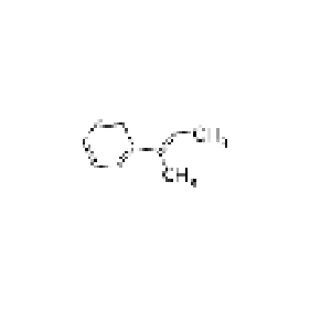 CC=C(C)c1ccccc1